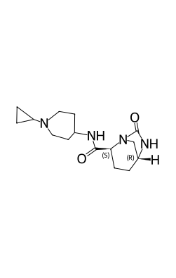 O=C(NC1CCN(C2CC2)CC1)[C@@H]1CC[C@@H]2CN1C(=O)N2